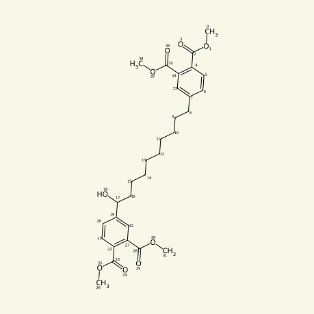 COC(=O)c1ccc(CCCCCCCCCC(O)c2ccc(C(=O)OC)c(C(=O)OC)c2)cc1C(=O)OC